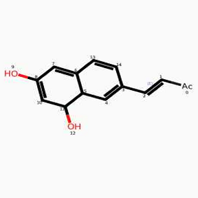 CC(=O)/C=C/C1=CC2C(=CC(O)=CC2O)C=C1